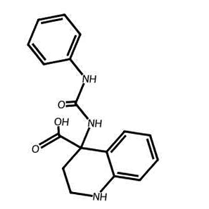 O=C(Nc1ccccc1)NC1(C(=O)O)CCNc2ccccc21